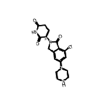 O=C1CC[C@@H](N2Cc3cc(N4CCNCC4)cc(Cl)c3C2=O)C(=O)N1